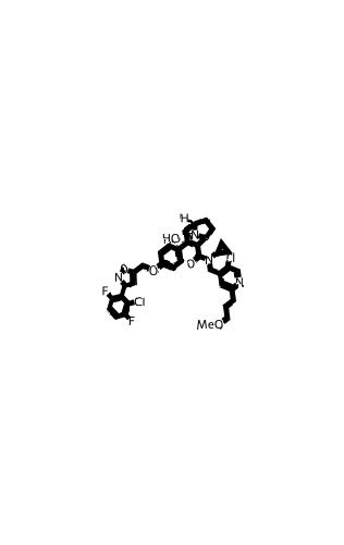 COCCCc1cc(CN(C(=O)C2C(c3ccc(OCc4cc(-c5c(F)ccc(F)c5Cl)no4)cc3)C[C@@H]3CCC2N3C(=O)O)C2CC2)c(Cl)cn1